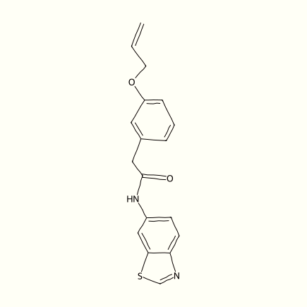 C=CCOc1cccc(CC(=O)Nc2ccc3ncsc3c2)c1